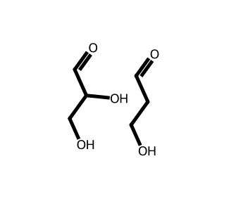 O=CC(O)CO.O=CCCO